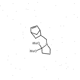 COC1(OC)CCCN1CC1CC2C=CC1C2